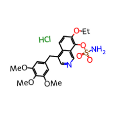 CCOc1ccc2c(Cc3cc(OC)c(OC)c(OC)c3)cncc2c1OS(N)(=O)=O.Cl